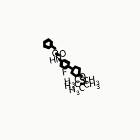 CC(C)(C)[Si](C)(C)OC1CCC(c2ccc(NC(=O)OCc3ccccc3)cc2F)CC1